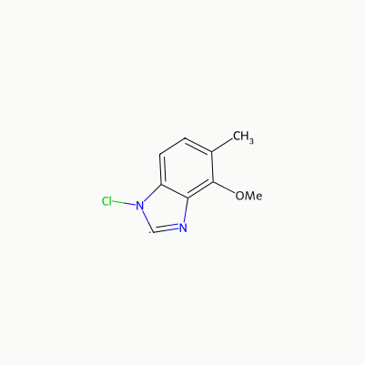 COc1c(C)ccc2c1n[c]n2Cl